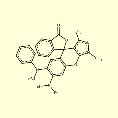 CCCCN(c1ccccc1)c1cc2c(cc1N(CC)CC)Oc1c(c(C)nn1C)C21OC(=O)c2ccccc21